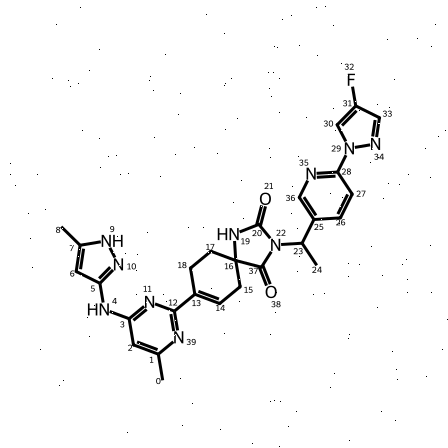 Cc1cc(Nc2cc(C)[nH]n2)nc(C2=CCC3(CC2)NC(=O)N(C(C)c2ccc(-n4cc(F)cn4)nc2)C3=O)n1